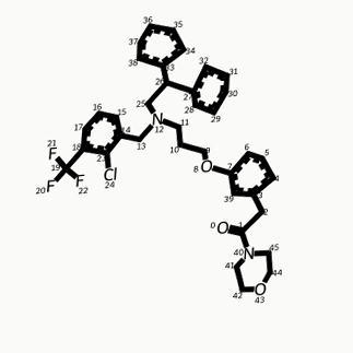 O=C(Cc1cccc(OCCCN(Cc2cccc(C(F)(F)F)c2Cl)CC(c2ccccc2)c2ccccc2)c1)N1CCOCC1